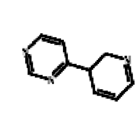 C1=CC(c2ccncn2)CN=C1